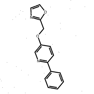 c1ccc(-c2ccc(OCc3ncco3)cn2)cc1